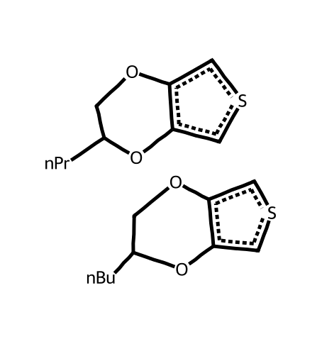 CCCC1COc2cscc2O1.CCCCC1COc2cscc2O1